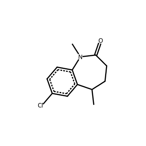 CC1CCC(=O)N(C)c2ccc(Cl)cc21